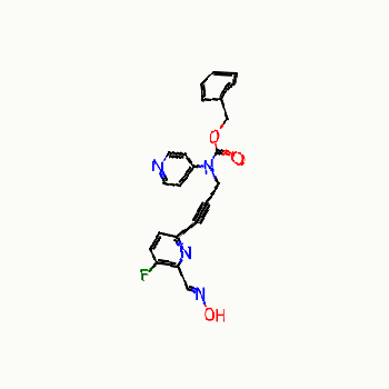 O=C(OCc1ccccc1)N(CC#Cc1ccc(F)c(C=NO)n1)c1ccncc1